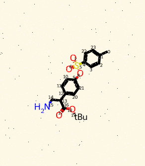 Cc1ccc(S(=O)(=O)Oc2ccc(C(CN)C(=O)OC(C)(C)C)cc2)cc1